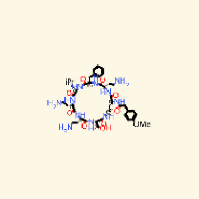 COc1ccc(CC(=O)N[C@H]2CCNC(=O)[C@H]([C@@H](C)O)NC(=O)[C@H](CCN)NC(=O)[C@H](CCN)NC(=O)[C@H](CC(C)C)NC(=O)[C@@H](Cc3ccccc3)NC(=O)[C@H](CCN)NC2=O)cc1